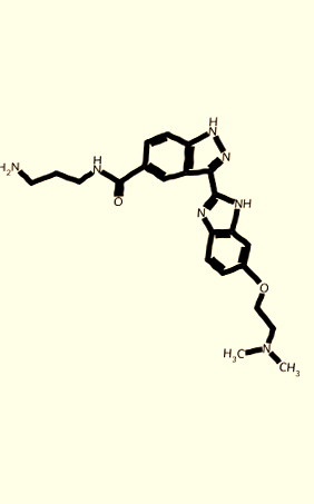 CN(C)CCOc1ccc2nc(-c3n[nH]c4ccc(C(=O)NCCCN)cc34)[nH]c2c1